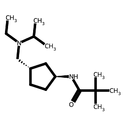 CCN(C[C@H]1CC[C@H](NC(=O)C(C)(C)C)C1)C(C)C